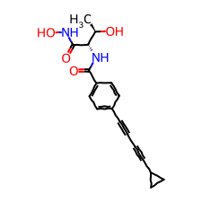 C[C@@H](O)[C@H](NC(=O)c1ccc(C#CC#CC2CC2)cc1)C(=O)NO